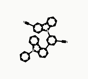 N#Cc1cc(-c2cccc3c2c2ccccc2n3-c2ccccc2)cc(-n2c3ccccc3c3cc(C#N)ccc32)c1